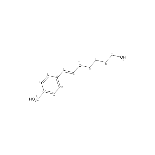 O=C(O)c1ccc(C=COCCCCO)cc1